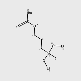 CCO[Si](C)(CCCOC(=O)C(C)CC)OCC